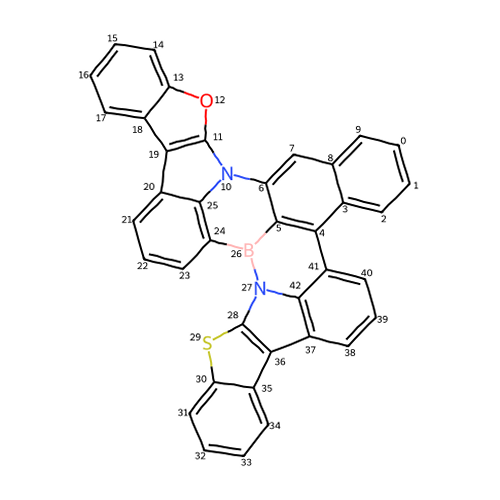 c1ccc2c3c4c(cc2c1)-n1c2oc5ccccc5c2c2cccc(c21)B4n1c2sc4ccccc4c2c2cccc-3c21